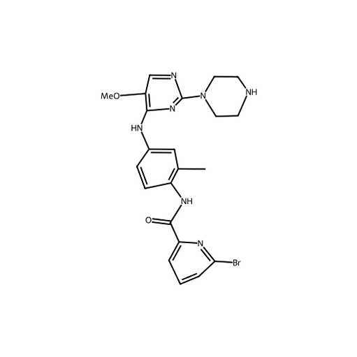 COc1cnc(N2CCNCC2)nc1Nc1ccc(NC(=O)c2cccc(Br)n2)c(C)c1